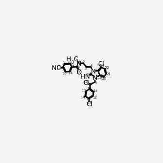 CN(CCCn1c(=N)n(CC(=O)c2ccc(Cl)cc2)c2cccc(Cl)c21)C(=O)c1ccc(C#N)cc1